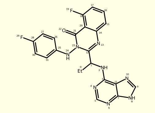 CCC(Nc1ncnc2[nH]cnc12)c1nc2cccc(F)c2c(=O)n1Nc1ccc(F)cc1